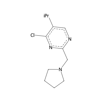 CC(C)c1cnc(CN2CCCC2)nc1Cl